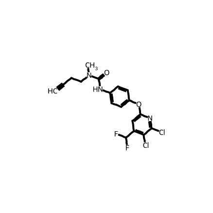 C#CCCN(C)C(=O)Nc1ccc(Oc2cc(C(F)F)c(Cl)c(Cl)n2)cc1